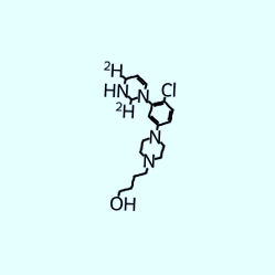 [2H]C1C=CN(c2cc(N3CCN(CCCCO)CC3)ccc2Cl)C([2H])N1